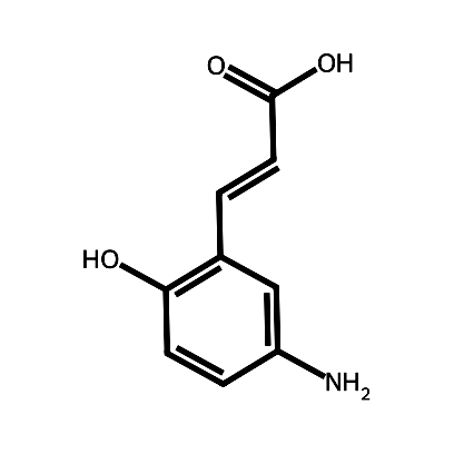 Nc1ccc(O)c(C=CC(=O)O)c1